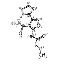 COCC(=O)Nc1onc(-c2cccs2)c1C(N)=O